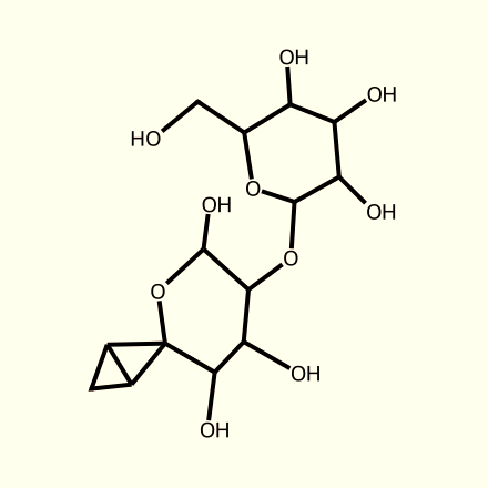 OCC1OC(OC2C(O)OC3(C(O)C2O)C2CC23)C(O)C(O)C1O